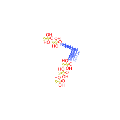 N.N.N.N.N.N.N.N.N.N.O=S(O)(O)=S.O=S(O)(O)=S.O=S(O)(O)=S.O=S(O)(O)=S.O=S(O)(O)=S